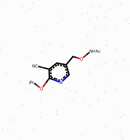 CC(=O)NOCc1cnc(OC(C)C)c(C#N)c1